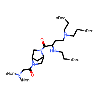 CCCCCCCCCCCCNC(CCN(CCCCCCCCCCCC)CCCCCCCCCCCC)C(=O)N1CC2CC1CN2C(=O)CN(CCCCCCCCC)CCCCCCCCC